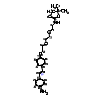 CC(C)(C)OC(=O)NCCOCCOCCOc1ccc(/C=C/c2ccc(N)cc2)cc1